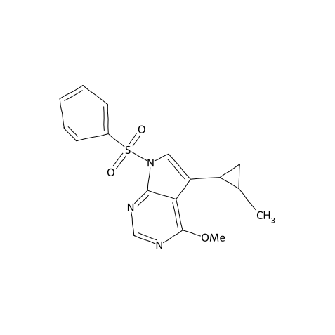 COc1ncnc2c1c(C1CC1C)cn2S(=O)(=O)c1ccccc1